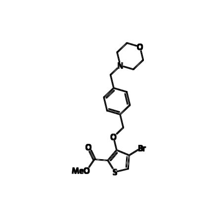 COC(=O)c1scc(Br)c1OCc1ccc(CN2CCOCC2)cc1